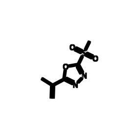 C=C(C)c1nnc(S(C)(=O)=O)o1